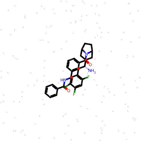 N[C@H](Cc1cc(F)c(F)cc1F)C1CC2CCC(C1)N2C(=O)c1cccc(CNC(=O)c2ccccc2)c1